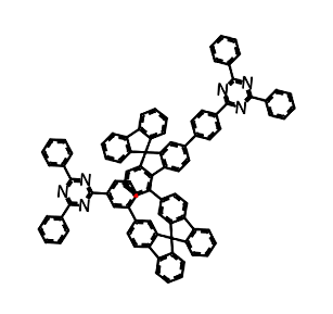 c1ccc(-c2nc(-c3ccccc3)nc(-c3ccc(-c4ccc5c(c4)C4(c6ccccc6-c6ccccc64)c4cccc(-c6ccc7c(c6)C6(c8ccccc8-c8ccc(-c9cccc(-c%10nc(-c%11ccccc%11)nc(-c%11ccccc%11)n%10)c9)cc86)c6ccccc6-7)c4-5)cc3)n2)cc1